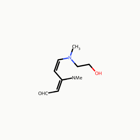 CNC(/C=C\N(C)CCO)=C/C=O